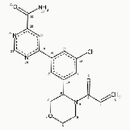 C=CC(=O)N1CCOCC1c1cc(Cl)cc(-c2cc(C(N)=O)ncn2)c1